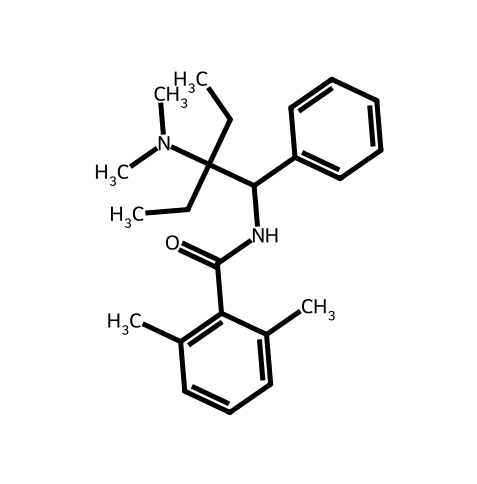 CCC(CC)(C(NC(=O)c1c(C)cccc1C)c1ccccc1)N(C)C